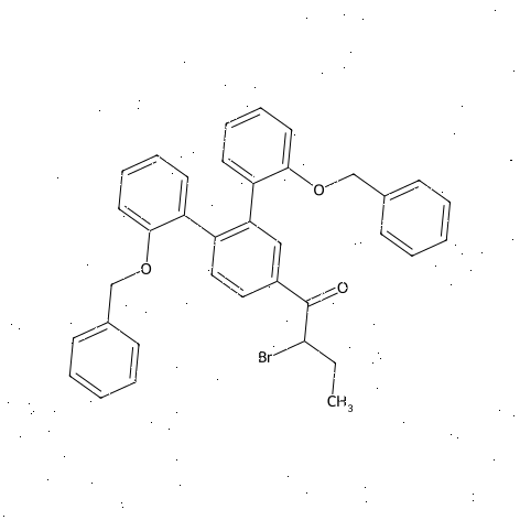 CCC(Br)C(=O)c1ccc(-c2ccccc2OCc2ccccc2)c(-c2ccccc2OCc2ccccc2)c1